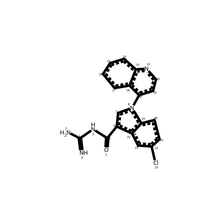 N=C(N)NC(=O)c1cn(-c2ccnc3ccccc23)c2ccc(Cl)cc12